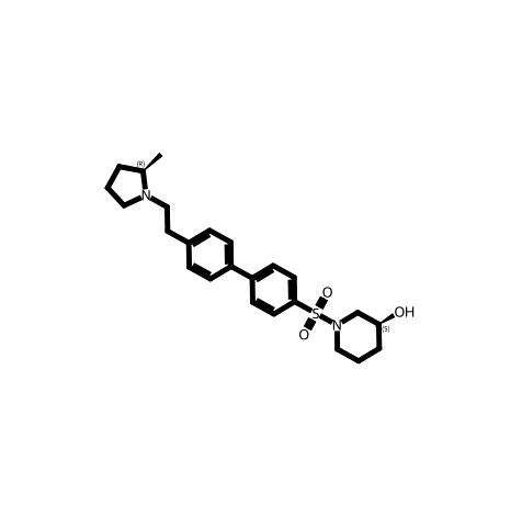 C[C@@H]1CCCN1CCc1ccc(-c2ccc(S(=O)(=O)N3CCC[C@H](O)C3)cc2)cc1